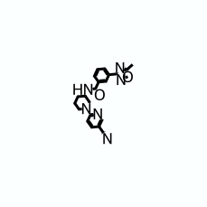 Cc1nc(-c2cccc(C(=O)NC3CCCN(c4ccc(C#N)cn4)C3)c2)no1